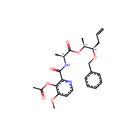 C=CC[C@@H](OCc1ccccc1)[C@H](C)OC(=O)[C@H](C)NC(=O)c1nccc(OC)c1OC(C)=O